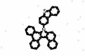 c1ccc2c(c1)ccc1c2c2c3ccccc3c3ccccc3c2n1-c1ccc2sc3ccccc3c2c1